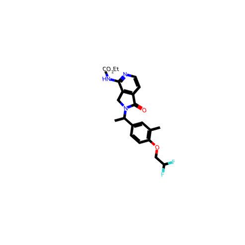 CCOC(=O)Nc1nccc2c1CN(C(C)c1ccc(OCC(F)F)c(C)c1)C2=O